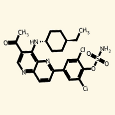 CC[C@H]1CC[C@H](Nc2c(C(C)=O)cnc3ccc(-c4cc(Cl)c(OS(N)(=O)=O)c(Cl)c4)nc23)CC1